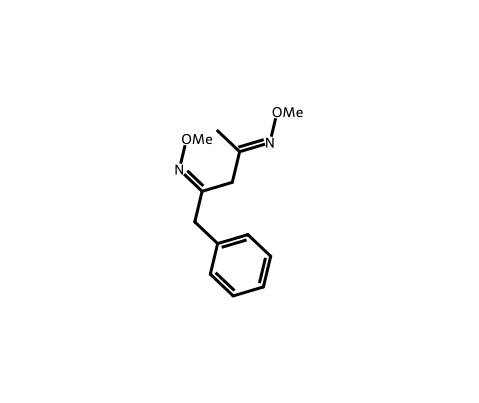 CO/N=C(\C/C(C)=N/OC)Cc1ccccc1